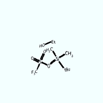 CC(C)(C)[Si](C)(C)OS(=O)(=O)C(F)(F)F.CCO